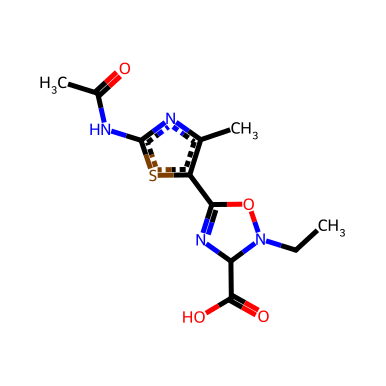 CCN1OC(c2sc(NC(C)=O)nc2C)=NC1C(=O)O